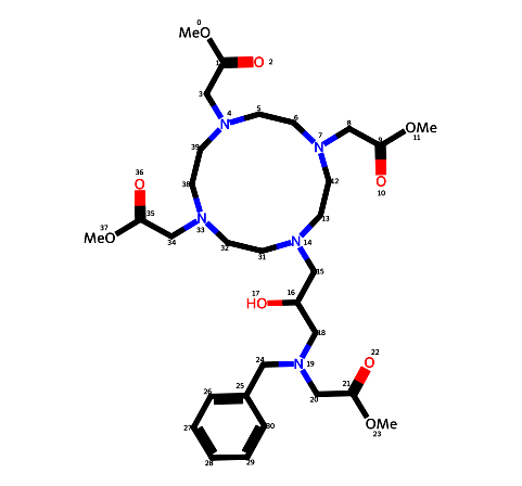 COC(=O)CN1CCN(CC(=O)OC)CCN(CC(O)CN(CC(=O)OC)Cc2ccccc2)CCN(CC(=O)OC)CC1